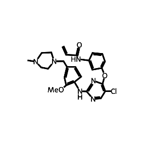 C=CC(=O)Nc1cccc(Oc2nc(Nc3ccc(CN4CCN(C)CC4)cc3OC)ncc2Cl)c1